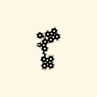 CCC1(CC)c2cc(/C=C/c3cccc4c3-c3ccccc3C4(c3ccccc3)c3ccccc3)ccc2-c2ccc(N(c3ccccc3)c3ccc4c(c3)C3(c5ccccc5-c5ccccc53)c3ccccc3-4)cc21